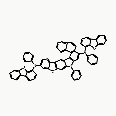 c1ccc(N(c2ccc3c(c2)oc2cc4c(cc23)c2c3c(ccc5ccccc53)c(N(c3ccccc3)c3cccc5c3oc3ccccc35)cc2n4-c2ccccc2)c2cccc3c2oc2ccccc23)cc1